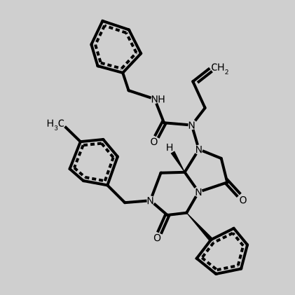 C=CCN(C(=O)NCc1ccccc1)N1CC(=O)N2[C@@H](c3ccccc3)C(=O)N(Cc3ccc(C)cc3)C[C@@H]21